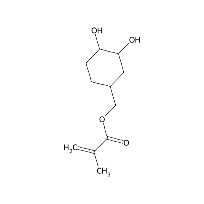 C=C(C)C(=O)OCC1CCC(O)C(O)C1